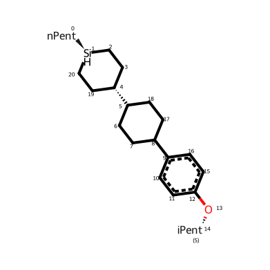 CCCCC[Si@H]1CC[C@H](C2CCC(c3ccc(O[C@@H](C)CCC)cc3)CC2)CC1